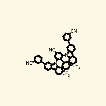 N#Cc1cccc(-c2ccc3c4ccccc4n(-c4cc(C#N)cc(-n5c6ccccc6c6ccc(-c7cccc(C#N)c7)cc65)c4-c4cc(C(F)(F)F)cc(C(F)(F)F)c4)c3c2)c1